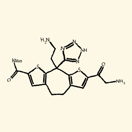 CNC(=O)c1cc2c(s1)C(CCN)(c1nn[nH]n1)c1sc(C(=O)CN)cc1CC2